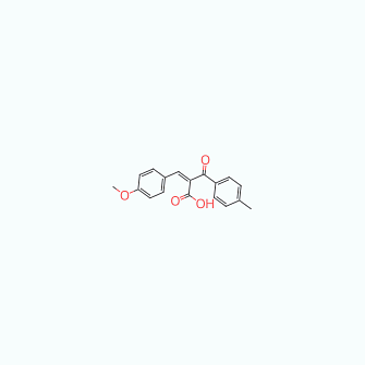 COc1ccc(/C=C(\C(=O)O)C(=O)c2ccc(C)cc2)cc1